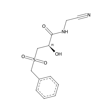 N#CCNC(=O)[C@@H](O)CS(=O)(=O)Cc1ccccc1